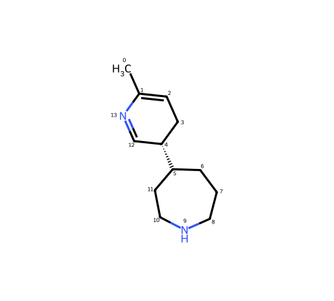 CC1=CC[C@H](C2CCCNCC2)C=N1